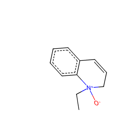 CC[N+]1([O-])CC=Cc2ccccc21